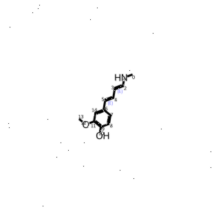 CN/C=C/C=C/c1ccc(O)c(OC)c1